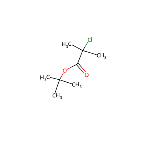 CC(C)(C)OC(=O)C(C)(C)Cl